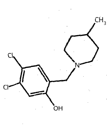 CC1CCN(Cc2cc(Cl)c(Cl)cc2O)CC1